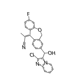 CC(C#N)=C1c2ccc(C(O)c3c(Cl)nc4ccccn34)cc2COc2cc(F)ccc21